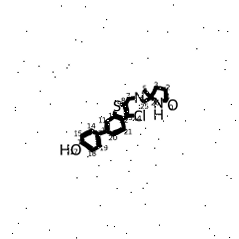 O=C1CCC2(CN(Cc3sc4cc(-c5ccc(O)cc5)ccc4c3Cl)C2)N1